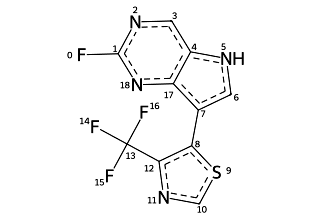 Fc1ncc2[nH]cc(-c3scnc3C(F)(F)F)c2n1